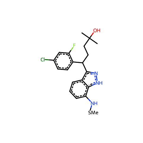 CSNc1cccc2c(C(CCC(C)(C)O)c3ccc(Cl)cc3F)n[nH]c12